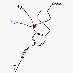 COC1CCC2(Cc3ccc(C#CC4CC4)cc3C23N=C(N)N(C)O3)C1